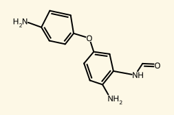 Nc1ccc(Oc2ccc(N)c(NC=O)c2)cc1